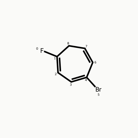 FC1=CC=C(Br)C=CC1